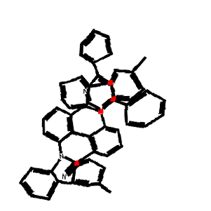 Cc1ccc2c(c1)c1ccccc1n2-c1cccc(C#N)c1-c1c(-c2nc(-c3ccccc3)nc(-c3ccccc3)n2)cccc1-n1c2ccccc2c2cc(C)ccc21